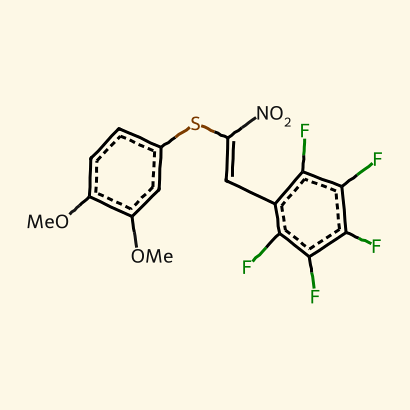 COc1ccc(SC(=Cc2c(F)c(F)c(F)c(F)c2F)[N+](=O)[O-])cc1OC